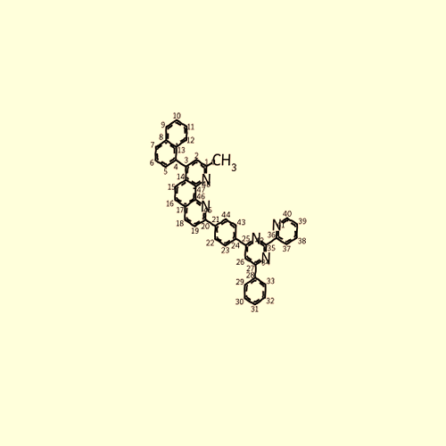 Cc1cc(-c2cccc3ccccc23)c2ccc3ccc(-c4ccc(-c5cc(-c6ccccc6)nc(-c6ccccn6)n5)cc4)nc3c2n1